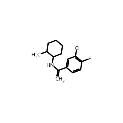 C=C(NC1CCCCC1C)c1ccc(F)c(Cl)c1